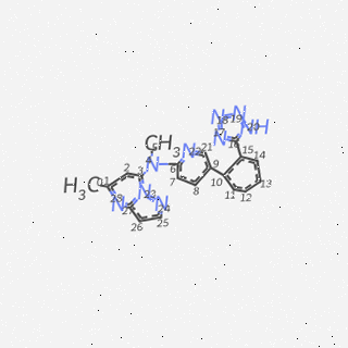 Cc1cc(N(C)c2ccc(-c3ccccc3-c3nnn[nH]3)cn2)n2nccc2n1